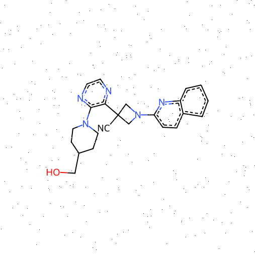 N#CC1(c2nccnc2N2CCC(CO)CC2)CN(c2ccc3ccccc3n2)C1